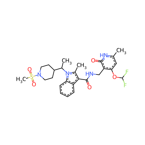 Cc1cc(OC(F)F)c(CNC(=O)c2c(C)n(C(C)C3CCN(S(C)(=O)=O)CC3)c3ccccc23)c(=O)[nH]1